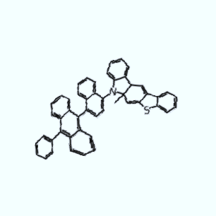 CC12C=c3sc4ccccc4c3=CC1c1ccccc1N2c1ccc(-c2c3ccccc3c(-c3ccccc3)c3ccccc23)c2ccccc12